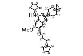 COc1cc2c(NC3CCCC3)nc(N3CCC(F)(F)CC3)nc2cc1OCCCN1CCCC1